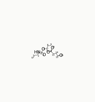 CCCNC(=O)OC(CC)OC(=O)CCC=O